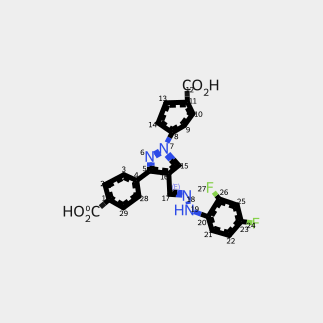 O=C(O)c1ccc(-c2nn(-c3ccc(C(=O)O)cc3)cc2/C=N/Nc2ccc(F)cc2F)cc1